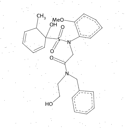 COc1ccccc1N(CC(=O)N(CCO)Cc1ccccc1)S(=O)(=O)C1(O)C=CC=CC1C